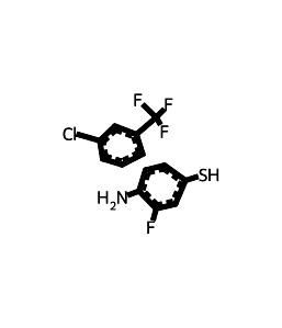 FC(F)(F)c1cccc(Cl)c1.Nc1ccc(S)cc1F